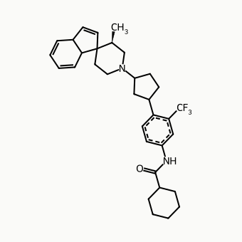 C[C@H]1CN(C2CCC(c3ccc(NC(=O)C4CCCCC4)cc3C(F)(F)F)C2)CCC12C=CC1C=CC=CC12